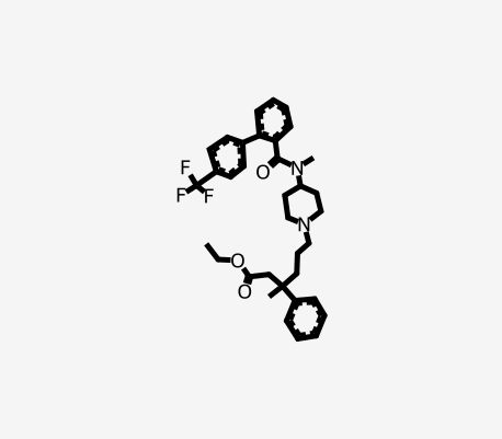 CCOC(=O)CC(C)(CCCN1CCC(N(C)C(=O)c2ccccc2-c2ccc(C(F)(F)F)cc2)CC1)c1ccccc1